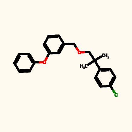 CC(C)(COCc1cccc(Oc2ccccc2)c1)c1ccc(Cl)cc1